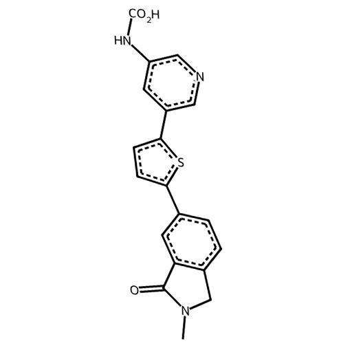 CN1Cc2ccc(-c3ccc(-c4cncc(NC(=O)O)c4)s3)cc2C1=O